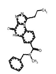 CCCc1nnc2c(=O)[nH]c3cc(C(=O)N(C)Cc4ccccc4)ccc3n12